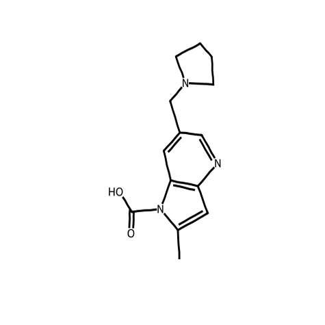 Cc1cc2ncc(CN3CCCC3)cc2n1C(=O)O